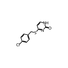 O=c1nc(SCc2ccc(Cl)cc2)cc[nH]1